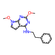 COc1nc(NCCc2ccccc2)c2ccn(OC)c2n1